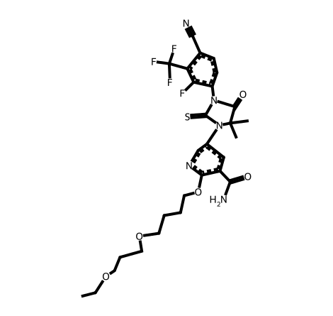 CCOCCCOCCCCOc1ncc(N2C(=S)N(c3ccc(C#N)c(C(F)(F)F)c3F)C(=O)C2(C)C)cc1C(N)=O